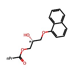 CCCC(=O)OC[C@H](O)COc1cccc2ccccc12